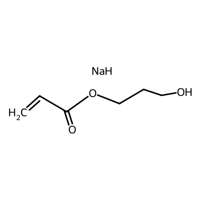 C=CC(=O)OCCCO.[NaH]